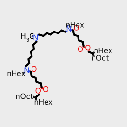 CCCCCCCCC(CCCCCC)COC(=O)CCCCC(=O)N(CCCCCC)CCCCCCCCN(C)CCCCCCCCN(CCCCCC)C(=O)CCCCC(=O)OCC(CCCCCC)CCCCCCCC